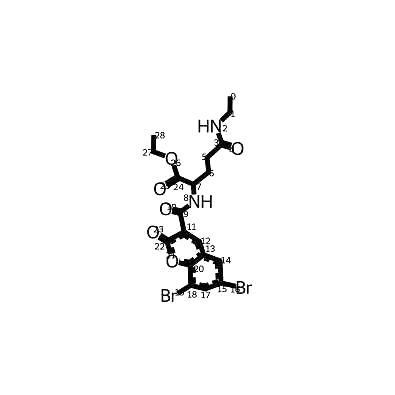 CCNC(=O)CCC(NC(=O)c1cc2cc(Br)cc(Br)c2oc1=O)C(=O)OCC